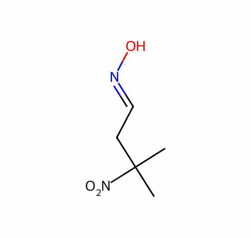 CC(C)(CC=NO)[N+](=O)[O-]